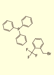 FC(F)(F)c1ccccc1CBr.c1ccc(P(c2ccccc2)c2ccccc2)cc1